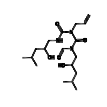 C=CCN(C(=O)NCC(O)CC(C)C)C(=O)N(C=O)CC(O)CC(C)C